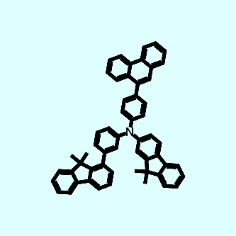 CC1(C)c2ccccc2-c2ccc(N(c3ccc(-c4cc5ccccc5c5ccccc45)cc3)c3cccc(-c4cccc5c4C(C)(C)c4ccccc4-5)c3)cc21